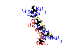 CCC1=C(N)N=C(SCC2=C(C(=O)O)N3C(=O)C(NC(=O)/C(=N\OC(C)(C)C(=O)O)c4csc(N)n4)[C@@H]3SC2)N(CC)C1N